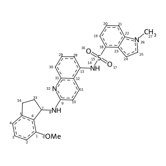 COc1cccc2c1C(Nc1ccc3c(NS(=O)(=O)c4cccc5c4ccn5C)cccc3n1)CC2